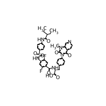 CCC(CC)C(=O)Nc1ccc(S(=O)(=O)Nc2cc(F)c(C(=O)N[C@@H](Cc3ccc(-n4c(=O)c5ccncc5n(C)c4=O)cc3)C(=O)O)cc2F)cc1